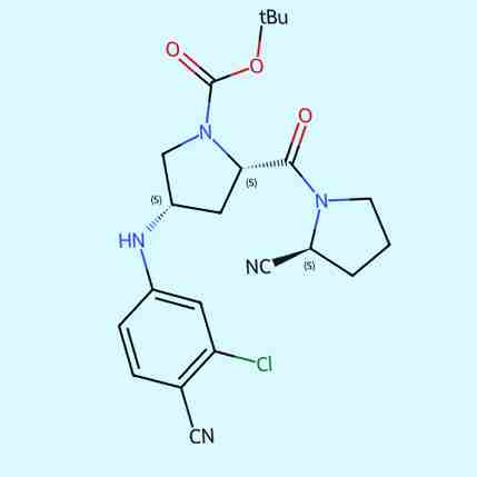 CC(C)(C)OC(=O)N1C[C@@H](Nc2ccc(C#N)c(Cl)c2)C[C@H]1C(=O)N1CCC[C@H]1C#N